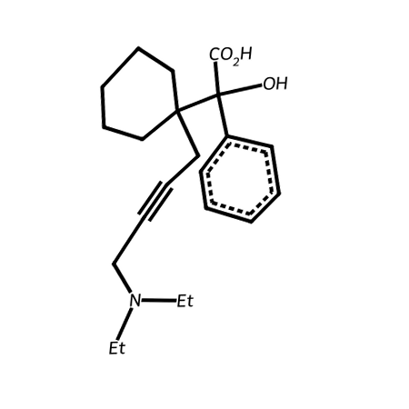 CCN(CC)CC#CCC1(C(O)(C(=O)O)c2ccccc2)CCCCC1